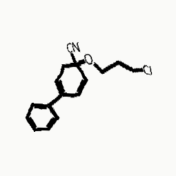 N#CC1(OCCCCl)C=CC(c2ccccc2)=CC1